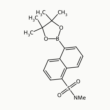 CNS(=O)(=O)c1cccc2c(B3OC(C)(C)C(C)(C)O3)cccc12